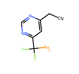 N#CCc1cc(C(F)(F)P)ncn1